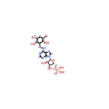 O=P(O)(O)OC[C@H]1O[C@@H](n2cnc3c(NCc4c(O)c(Br)cc(Br)c4O)ncnc32)[C@H](O)[C@@H]1O